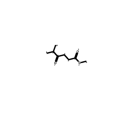 COC(=O)CCC(=O)[C](C)C